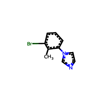 Cc1c(Br)cccc1-n1ccnc1